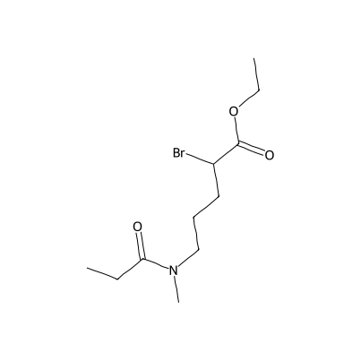 CCOC(=O)C(Br)CCCN(C)C(=O)CC